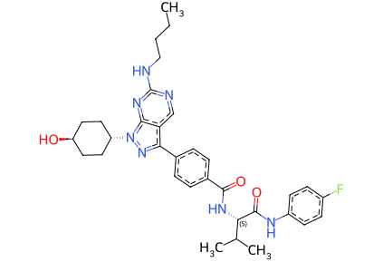 CCCCNc1ncc2c(-c3ccc(C(=O)N[C@H](C(=O)Nc4ccc(F)cc4)C(C)C)cc3)nn([C@H]3CC[C@H](O)CC3)c2n1